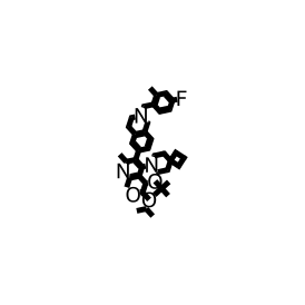 Cc1cc(F)ccc1CN1CCc2cc(-c3c(C)nc(C)c(C(OC(C)(C)C)C(=O)OC(C)C)c3N3CCC4(CCC4)CC3)ccc2C1